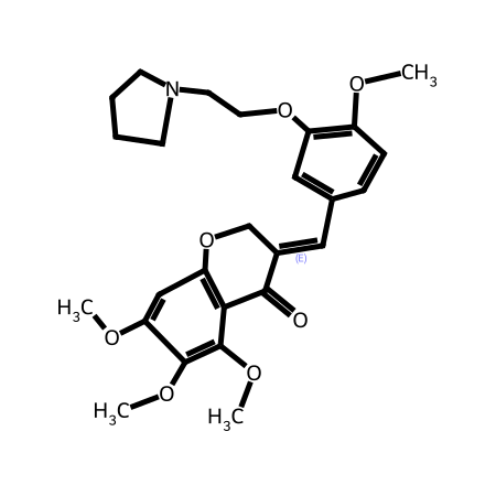 COc1ccc(/C=C2\COc3cc(OC)c(OC)c(OC)c3C2=O)cc1OCCN1CCCC1